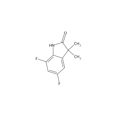 CC1(C)C(=O)Nc2c(F)cc(F)cc21